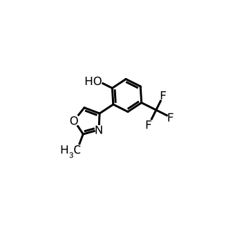 Cc1nc(-c2cc(C(F)(F)F)ccc2O)co1